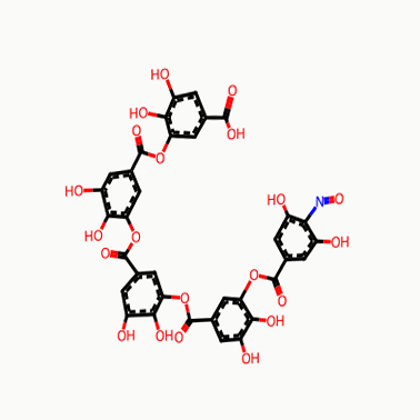 O=Nc1c(O)cc(C(=O)Oc2cc(C(=O)Oc3cc(C(=O)Oc4cc(C(=O)Oc5cc(C(=O)O)cc(O)c5O)cc(O)c4O)cc(O)c3O)cc(O)c2O)cc1O